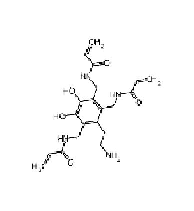 C=CC(=O)NCc1c(O)c(O)c(CNC(=O)C=C)c(CNC(=O)C=C)c1CCN